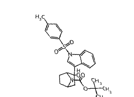 Cc1ccc(S(=O)(=O)n2cc(C3(O)CC4CCC3N4C(=O)OC(C)(C)C)c3ccccc32)cc1